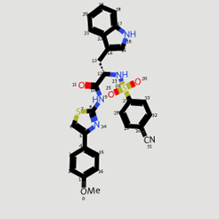 COc1ccc(-c2csc(NC(=O)[C@H](Cc3c[nH]c4ccccc34)NS(=O)(=O)c3ccc(C#N)cc3)n2)cc1